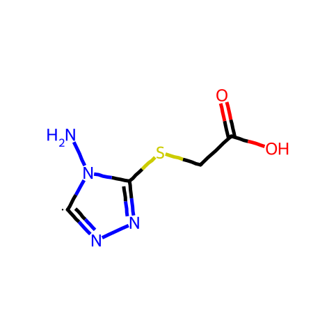 Nn1[c]nnc1SCC(=O)O